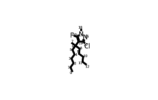 CCCCCCC(C)(CCCCC)c1c(Cl)nn(C)c1F